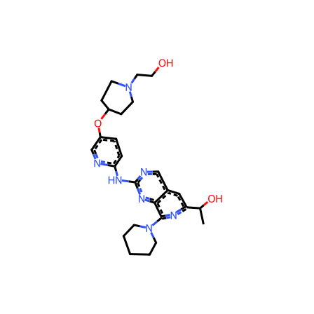 CC(O)c1cc2cnc(Nc3ccc(OC4CCN(CCO)CC4)cn3)nc2c(N2CCCCC2)n1